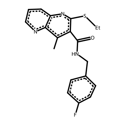 CCSc1nc2cccnc2c(C)c1C(=O)NCc1ccc(F)cc1